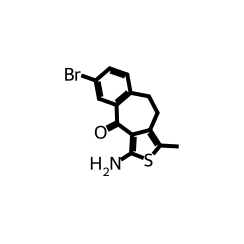 Cc1sc(N)c2c1CCc1ccc(Br)cc1C2=O